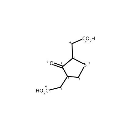 O=C(O)CC1CSC(CC(=O)O)C1=O